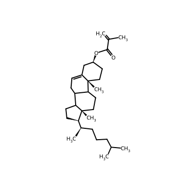 C=C(C)C(=O)O[C@H]1CC[C@@]2(C)C(=CCC3C2CC[C@@]2(C)C3CC[C@@H]2[C@H](C)CCCC(C)C)C1